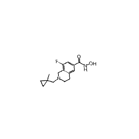 CC1(CN2CCc3cc(C(=O)NO)cc(F)c3C2)CC1